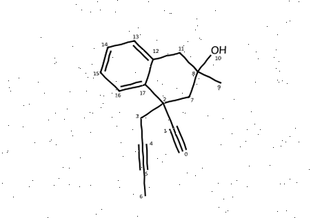 C#CC1(CC#CC)CC(C)(O)Cc2ccccc21